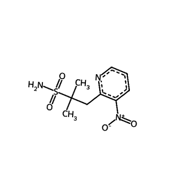 CC(C)(Cc1ncccc1[N+](=O)[O-])S(N)(=O)=O